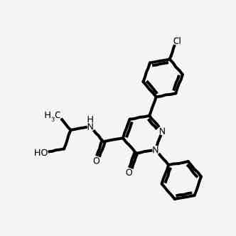 CC(CO)NC(=O)c1cc(-c2ccc(Cl)cc2)nn(-c2ccccc2)c1=O